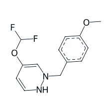 COc1ccc(CN2C=C(OC(F)F)C=CN2)cc1